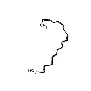 C/C=C\C/C=C\C/C=C\CCCCCCCCC(=O)O